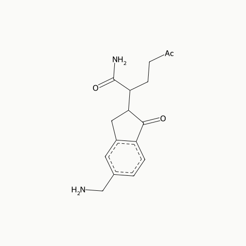 CC(=O)CCC(C(N)=O)C1Cc2cc(CN)ccc2C1=O